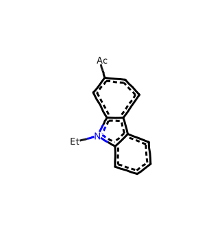 CCn1c2ccccc2c2ccc(C(C)=O)cc21